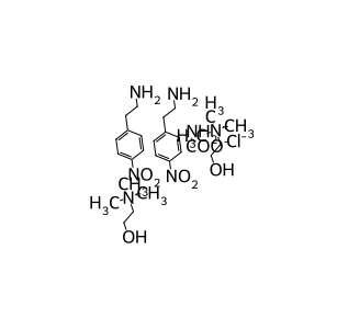 C[N+](C)(C)CCO.C[N+](C)(C)CCO.NC(=O)[O-].NCCc1ccc([N+](=O)[O-])cc1.NCCc1ccc([N+](=O)[O-])cc1.[Cl-]